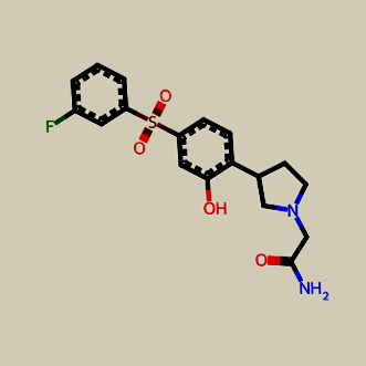 NC(=O)CN1CCC(c2ccc(S(=O)(=O)c3cccc(F)c3)cc2O)C1